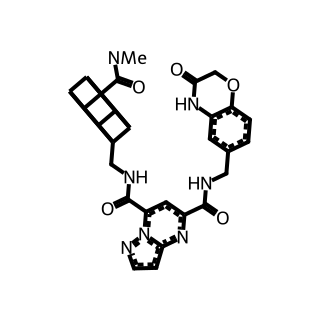 CNC(=O)C12C3C4C1C1C2C3C41CNC(=O)c1cc(C(=O)NCc2ccc3c(c2)NC(=O)CO3)nc2ccnn12